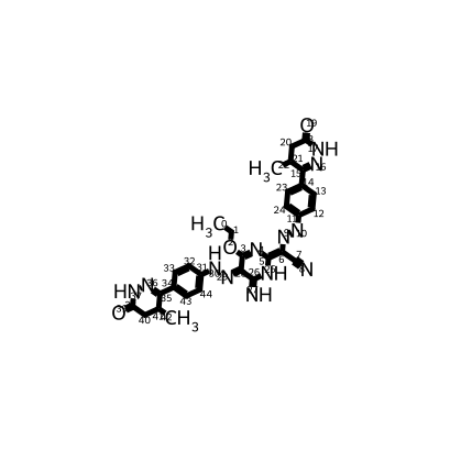 CCOC1=NC(=C(C#N)N=Nc2ccc(C3=NNC(=O)CC3C)cc2)NC(=N)C1=NNc1ccc(C2=NNC(=O)CC2C)cc1